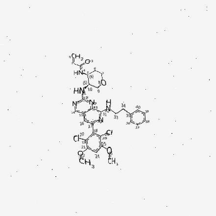 C=CC(=O)N[C@H]1CCOC[C@H]1Nc1ncc2cc(-c3c(Cl)c(OC)cc(OC)c3Cl)nc(NCCc3ccccc3)c2n1